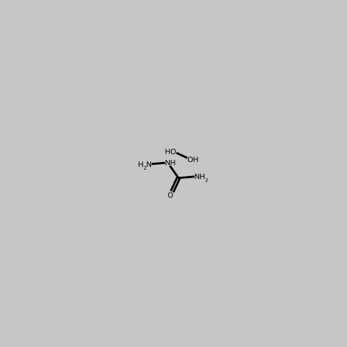 NNC(N)=O.OO